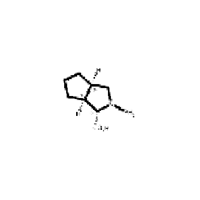 O=C(O)[C@@H]1[C@H]2CCC[C@H]2CN1P